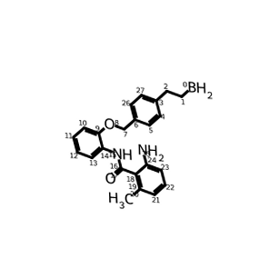 BCCc1ccc(COc2ccccc2NC(=O)c2c(C)cccc2N)cc1